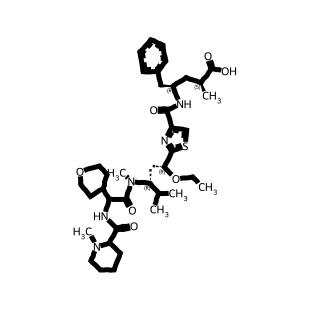 CCO[C@H](C[C@H](C(C)C)N(C)C(=O)C(NC(=O)C1CCCCN1C)C1CCOCC1)c1nc(C(=O)N[C@@H](Cc2ccccc2)C[C@H](C)C(=O)O)cs1